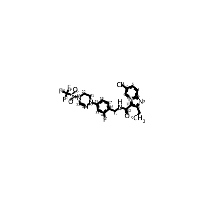 CCc1nc2ccc(Cl)cn2c1C(=O)NCc1ccc(N2CCN(S(=O)(=O)C(F)(F)F)C=N2)cc1F